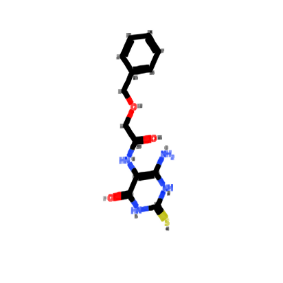 Nc1[nH]c(=S)[nH]c(=O)c1NC(=O)COCc1ccccc1